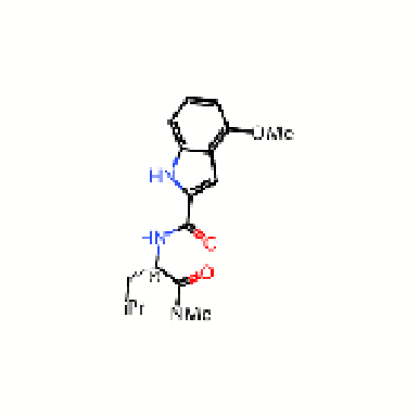 CNC(=O)[C@H](CC(C)C)NC(=O)c1cc2c(OC)cccc2[nH]1